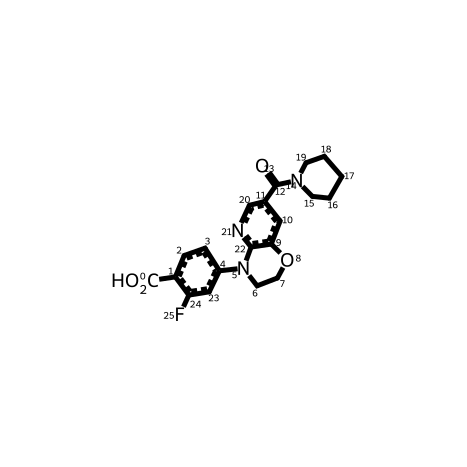 O=C(O)c1ccc(N2CCOc3cc(C(=O)N4CCCCC4)cnc32)cc1F